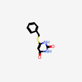 O=c1cc(SCc2ccccc2)[nH]c(=O)[nH]1